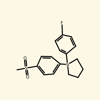 CS(=O)(=O)c1ccc([Si]2(c3ccc(F)cc3)CCCC2)cc1